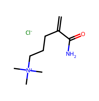 C=C(CCC[N+](C)(C)C)C(N)=O.[Cl-]